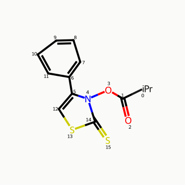 CC(C)C(=O)On1c(-c2ccccc2)csc1=S